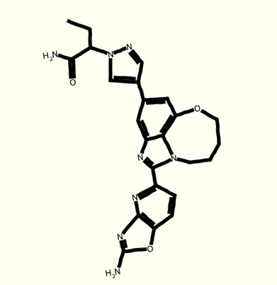 CCC(C(N)=O)n1cc(-c2cc3c4c(c2)nc(-c2ccc5oc(N)nc5n2)n4CCCCO3)cn1